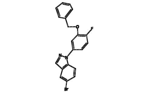 Fc1ccc(-n2ncc3cc(Br)ccc32)cc1OCc1ccccc1